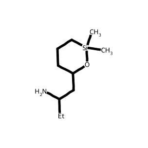 CCC(N)CC1CCC[Si](C)(C)O1